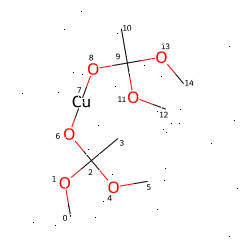 COC(C)(OC)[O][Cu][O]C(C)(OC)OC